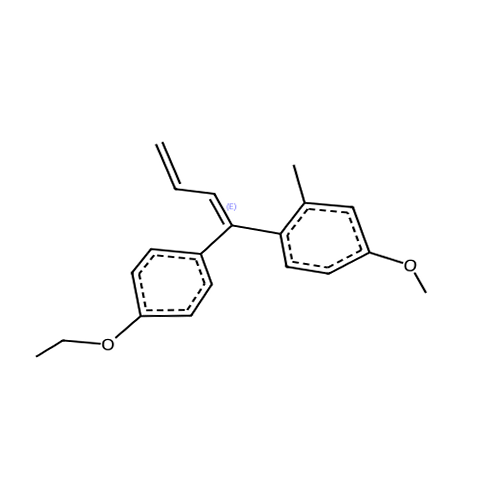 C=C/C=C(\c1ccc(OCC)cc1)c1ccc(OC)cc1C